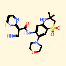 CC1(C)CS(=O)(=O)c2cc(N3CCOCC3)c(NC(=O)/C(C=N)=C3\N=CC=CN3)cc2N1